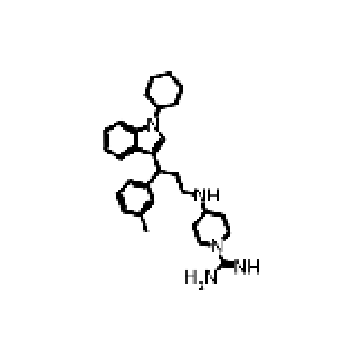 Cc1cccc(C(CCNC2CCN(C(=N)N)CC2)c2cn(C3CCCCC3)c3ccccc23)c1